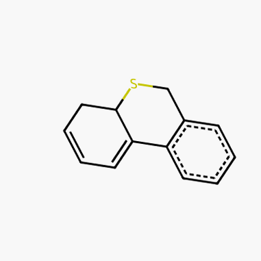 C1=CCC2SCc3ccccc3C2=C1